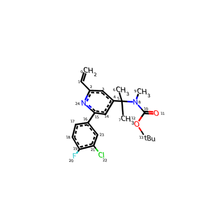 C=Cc1cc(C(C)(C)N(C)C(=O)OC(C)(C)C)cc(-c2ccc(F)c(Cl)c2)n1